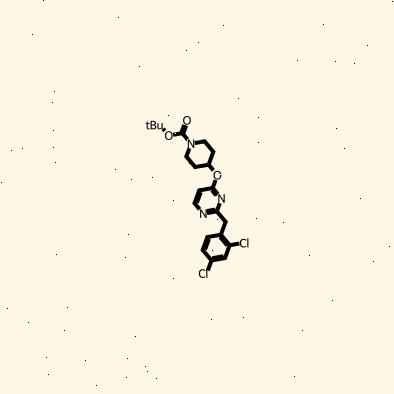 CC(C)(C)OC(=O)N1CCC(Oc2ccnc(Cc3ccc(Cl)cc3Cl)n2)CC1